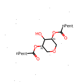 CCCCCC(=O)O[C@H]1COC[C@@H](OC(=O)CCCCC)C1O